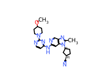 COC1CCN(c2nccc(Nc3cc4c(cn3)nc(C)n4[C@@H]3CC[C@@H](C#N)C3)n2)CC1